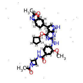 COc1cc(C(=O)NC2CN(C(C)=O)C2)ccc1Nc1nc(OC2CCCC2)c2c(-c3ccc4nc(C)oc4c3)c[nH]c2n1